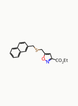 CCOC(=O)c1cc(CSCc2ccc3ccccc3c2)on1